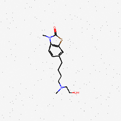 CN(CCO)CCCCc1ccc2c(c1)sc(=O)n2C